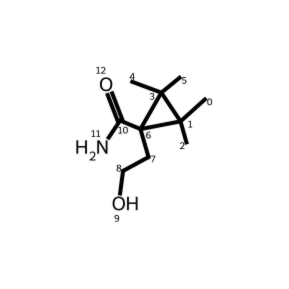 CC1(C)C(C)(C)C1(CCO)C(N)=O